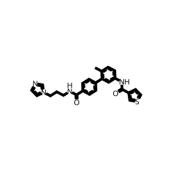 Cc1ccc(NC(=O)c2ccsc2)cc1-c1ccc(C(=O)NCCCn2ccnc2)cc1